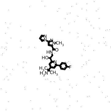 Cn1nc(-n2cccn2)cc1C(=O)NCC(O)c1cc(C(C)(C)N)cc(-c2ccc(F)cc2)n1